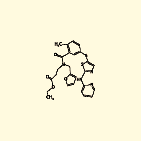 CCOC(=O)CCN(Cc1ccco1)C(=O)c1cc(Sc2cnc(Nc3ccccn3)s2)ccc1C